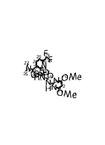 COc1cc(OC)nc(NC(=O)NS(=O)(=O)c2nc(C(F)F)ccc2C(=O)N(C)C)n1